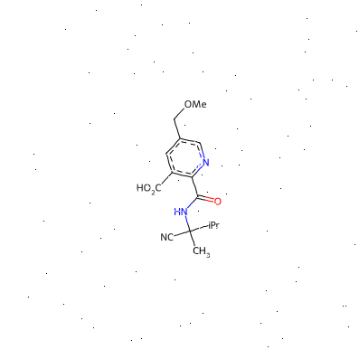 COCc1cnc(C(=O)NC(C)(C#N)C(C)C)c(C(=O)O)c1